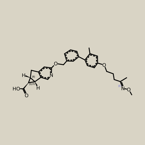 CO/N=C(\C)CCCOc1ccc(-c2cccc(COc3cc4c(cn3)[C@H]3[C@@H](C4)[C@@H]3C(=O)O)c2)c(C)c1